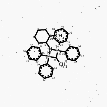 CC1CCCCC1N1[PH](c2ccccc2)(c2ccccc2)C(C)[PH]1(c1ccccc1)c1ccccc1